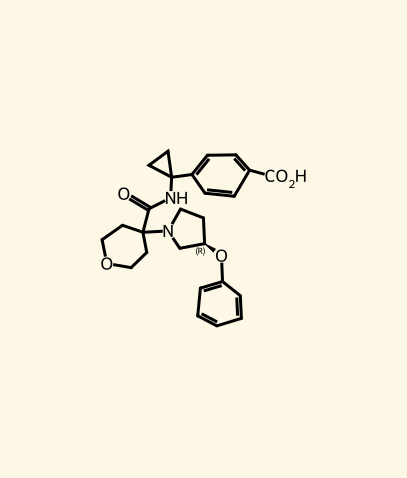 O=C(O)c1ccc(C2(NC(=O)C3(N4CC[C@@H](Oc5ccccc5)C4)CCOCC3)CC2)cc1